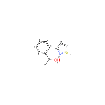 CC(O)c1ccccc1-c1ccsn1